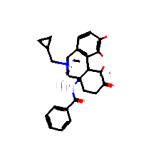 O=C(NC12CCC(=O)[C@@H]3Oc4c(O)ccc5c4[C@@]31CCN(CC1CC1)[C@@H]2C5)c1ccccc1